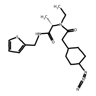 CCN(C(=O)CC1CCC(N=[N+]=[N-])CC1)[C@@H](C)C(=O)NCc1cccs1